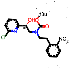 CC(C)(C)OC(=O)N(CCc1ccccc1[N+](=O)[O-])C[C@@H](O)c1cccc(Cl)n1